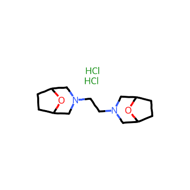 C1CC2CN(CCN3CC4CCC(C3)O4)CC1O2.Cl.Cl